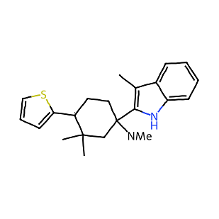 CNC1(c2[nH]c3ccccc3c2C)CC[C](c2cccs2)C(C)(C)C1